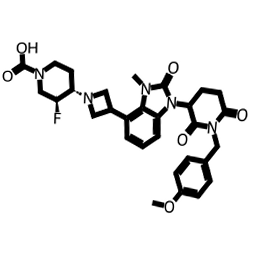 COc1ccc(CN2C(=O)CCC(n3c(=O)n(C)c4c(C5CN([C@H]6CCN(C(=O)O)C[C@@H]6F)C5)cccc43)C2=O)cc1